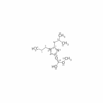 CCCn1ccnc1CC(C)C.COC(=O)O